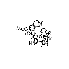 COc1cc2c(cc1Nc1nc(Nc3ccccc3S(=O)(=O)N(C)C)c3c(-c4c(C)noc4C)c[nH]c3n1)CN(C)CC2